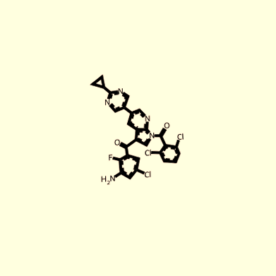 Nc1cc(Cl)cc(C(=O)c2cn(C(=O)c3c(Cl)cccc3Cl)c3ncc(-c4cnc(C5CC5)nc4)cc23)c1F